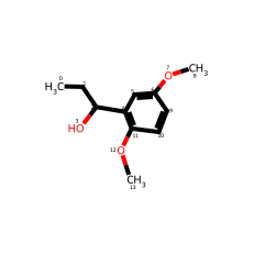 CCC(O)c1cc(OC)ccc1OC